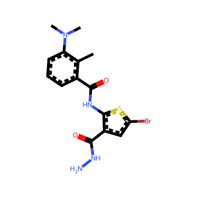 Cc1c(C(=O)Nc2sc(Br)cc2C(=O)NN)cccc1N(C)C